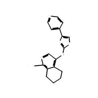 COc1ncc(Nc2nc(-c3ccncc3)cs2)c2c1CCCC2